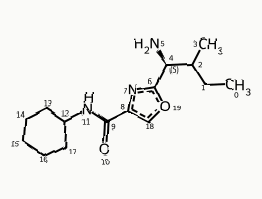 CCC(C)[C@H](N)c1nc(C(=O)NC2CCCCC2)co1